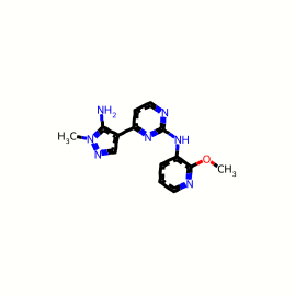 COc1ncccc1Nc1nccc(-c2cnn(C)c2N)n1